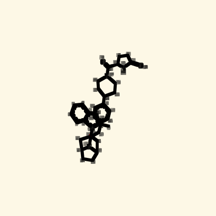 Cc1nc2ccccc2n1C1CC2CCC(C1)N2CCc1ccc(C2CCN(C(=O)[C@H]3CCC(=O)N3)CC2)cc1